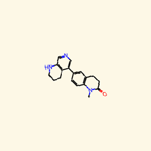 CN1C(=O)CCc2cc(-c3cncc4c3CCCN4)ccc21